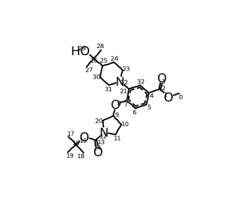 COC(=O)c1ccc(OC2CCN(C(=O)OC(C)(C)C)C2)c(N2CCC(C(C)(C)O)CC2)c1